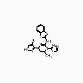 CC1=CC(c2n[nH]cc2Br)N=C(Nc2nc3ccccc3o2)N1c1nncs1